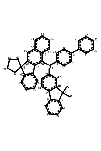 CC1(C)c2ccccc2-c2ccc(N(c3ccc(-c4ccccc4)cc3)c3c4c(cc5ccccc35)C3(CCCC3)c3ccccc3-4)cc21